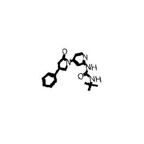 CC(C)(C)NC(=O)Nc1cc(N2CC(c3ccccc3)CC2=O)ccn1